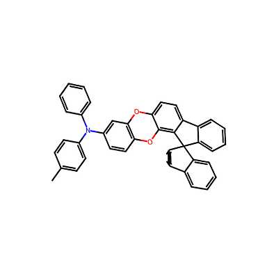 Cc1ccc(N(c2ccccc2)c2ccc3c(c2)Oc2ccc4c(c2O3)C2(c3ccccc3-c3ccccc32)c2ccccc2-4)cc1